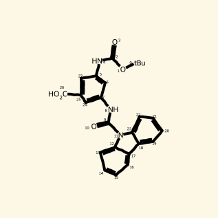 CC(C)(C)OC(=O)Nc1cc(NC(=O)n2c3ccccc3c3ccccc32)cc(C(=O)O)c1